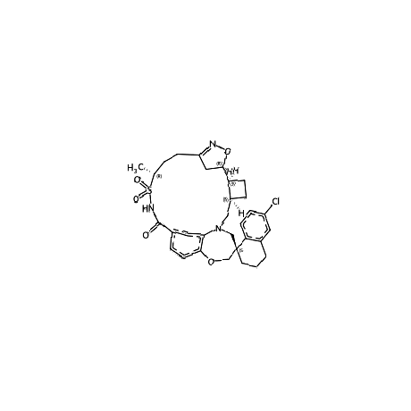 C[C@@H]1CCC2=NO[C@H](C2)[C@H]2CC[C@H]2CN2C[C@@]3(CCCc4cc(Cl)ccc43)COc3ccc(cc32)C(=O)NS1(=O)=O